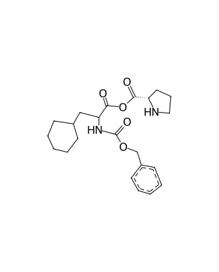 O=C(NC(CC1CCCCC1)C(=O)OC(=O)[C@@H]1CCCN1)OCc1ccccc1